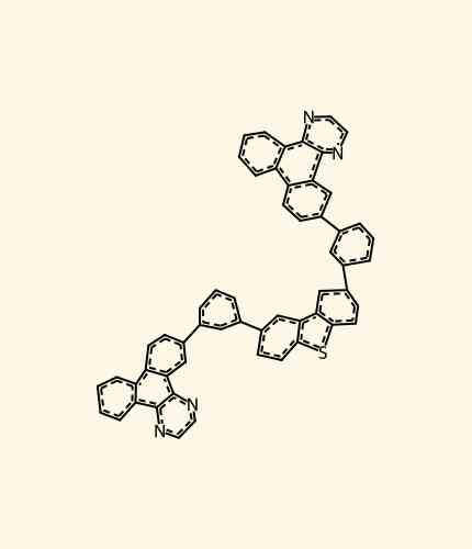 c1cc(-c2ccc3sc4ccc(-c5cccc(-c6ccc7c8ccccc8c8nccnc8c7c6)c5)cc4c3c2)cc(-c2ccc3c4ccccc4c4nccnc4c3c2)c1